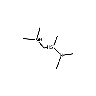 CN(C)[SiH](C)C[SiH](C)C